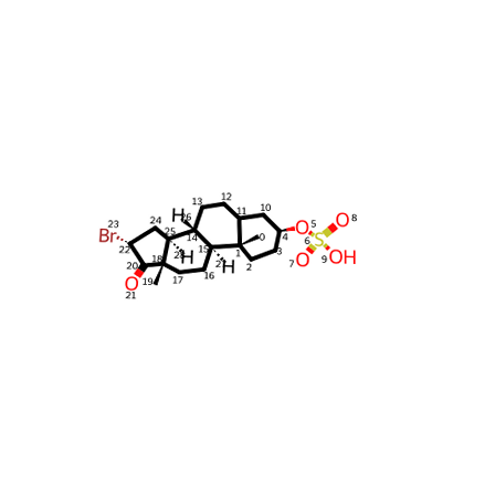 C[C@]12CC[C@H](OS(=O)(=O)O)CC1CC[C@@H]1[C@@H]2CC[C@]2(C)C(=O)[C@H](Br)C[C@@H]12